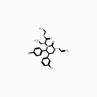 C=CC[C@@H]1CC(c2cccc(Cl)c2)C(c2ccc(Cl)cc2)N([C@@H](CC)C(=O)OCC)C1=O